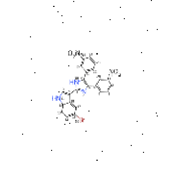 O=[N+]([O-])c1cccc(-c2nc(C3=CNC4CC=C(Br)C=C34)[nH]c2-c2cccc([N+](=O)[O-])c2)c1